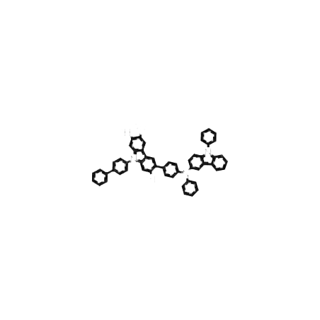 [2H]c1cc2c3cc(-c4ccc(N(c5ccccc5)c5ccc6c(c5)c5ccccc5n6-c5ccccc5)cc4)c([2H])cc3n(-c3ccc(-c4ccccc4)cc3)c2cc1[2H]